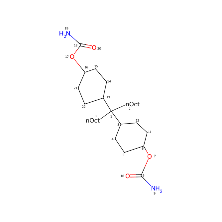 CCCCCCCCC(CCCCCCCC)(C1CCC(OC(N)=O)CC1)C1CCC(OC(N)=O)CC1